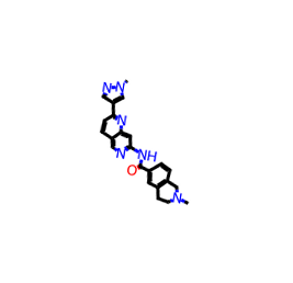 CN1CCc2cc(C(=O)Nc3cc4nc(-c5cnn(C)c5)ccc4cn3)ccc2C1